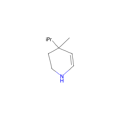 CC(C)C1(C)C=CNCC1